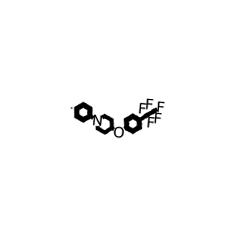 FC(F)(F)C(F)(F)c1ccc(OC2CCN(c3cc[c]cc3)CC2)cc1